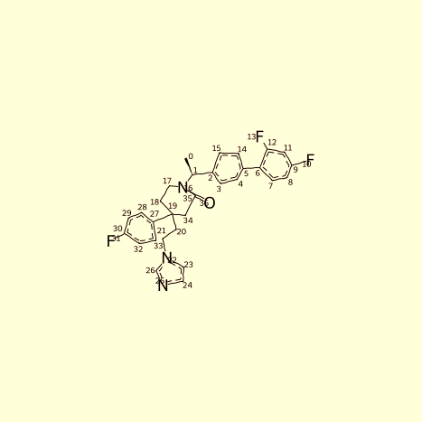 C[C@@H](c1ccc(-c2ccc(F)cc2F)cc1)N1CCC(CCn2ccnc2)(c2ccc(F)cc2)CC1=O